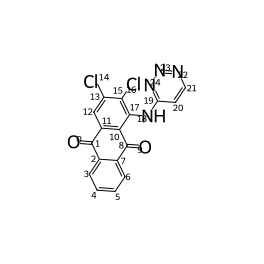 O=C1c2ccccc2C(=O)c2c1cc(Cl)c(Cl)c2Nc1ccnnn1